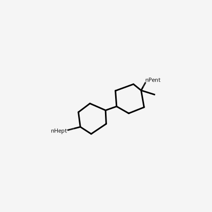 CCCCCCCC1CCC(C2CCC(C)(CCCCC)CC2)CC1